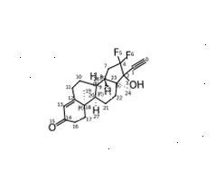 C#CC1(O)C(F)(F)C[C@H]2[C@@H]3CCC4=CC(=O)CC[C@]4(C)[C@@H]3CC[C@@]21C